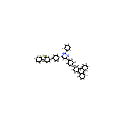 c1ccc(-c2nc(-c3ccc(-c4ccc5c(c4)sc4ccccc45)cc3)cc(-c3ccc(-c4ccc5c6ccccc6c6ccccc6c5c4)cc3)n2)cc1